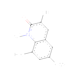 COc1cc(C)c2c(c1)cc(C)c(=O)n2C(C)=O